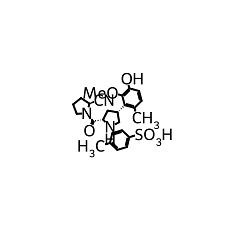 COc1c(O)ccc(C)c1[C@@H]1CN[C@H](C(=O)N2CCC[C@H]2C#N)C1.Cc1ccc(S(=O)(=O)O)cc1